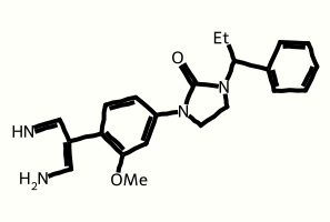 CCC(c1ccccc1)N1CCN(c2ccc(/C(C=N)=C/N)c(OC)c2)C1=O